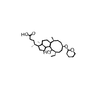 CC[C@@H]1CC[C@H](OC2CCCCO2)CC[C@H](C)C2CC[C@@]3(C)C(CCC3[C@H](C)CCC(=O)O)C2[C@@H]1O